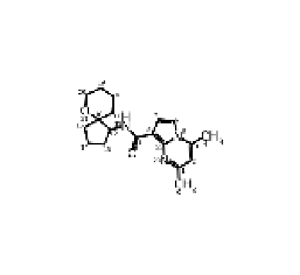 Cc1cc(C)n2ccc(C(=O)NC3CCCC34CCCCO4)c2n1